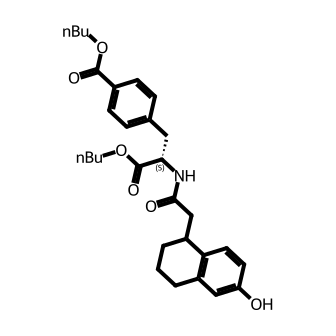 CCCCOC(=O)c1ccc(C[C@H](NC(=O)CC2CCCc3cc(O)ccc32)C(=O)OCCCC)cc1